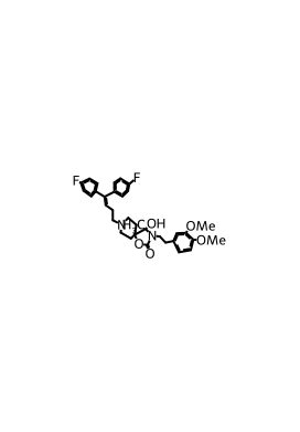 COc1ccc(CCN2C(=O)OC3(CCN(CCC=C(c4ccc(F)cc4)c4ccc(F)cc4)CC3)C2(C)O)cc1OC